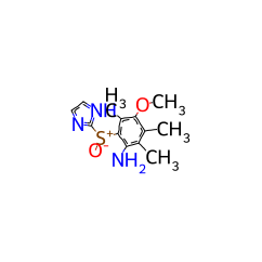 COc1c(C)c(C)c(N)c([S+]([O-])c2ncc[nH]2)c1C